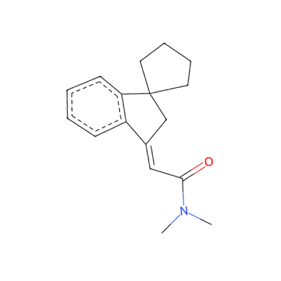 CN(C)C(=O)C=C1CC2(CCCC2)c2ccccc21